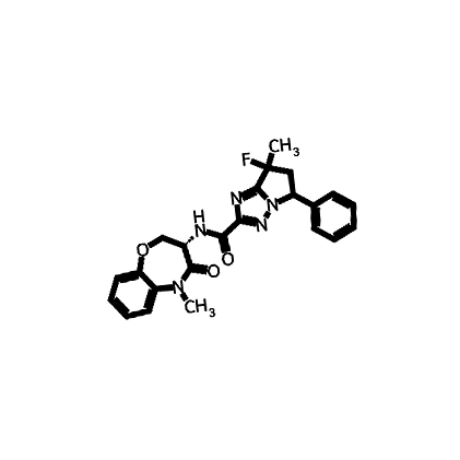 CN1C(=O)[C@@H](NC(=O)c2nc3n(n2)C(c2ccccc2)CC3(C)F)COc2ccccc21